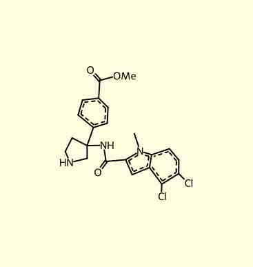 COC(=O)c1ccc(C2(NC(=O)c3cc4c(Cl)c(Cl)ccc4n3C)CCNC2)cc1